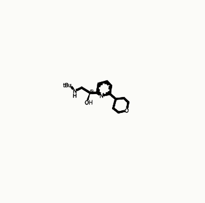 CC(C)(C)NC[C@H](O)c1cccc(C2CCOCC2)n1